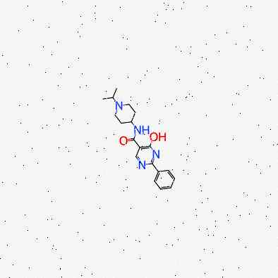 CC(C)N1CCC(NC(=O)c2cnc(-c3ccccc3)nc2O)CC1